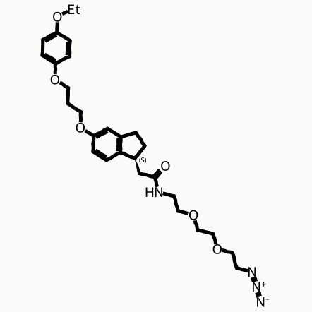 CCOc1ccc(OCCCOc2ccc3c(c2)CC[C@H]3CC(=O)NCCOCCOCCN=[N+]=[N-])cc1